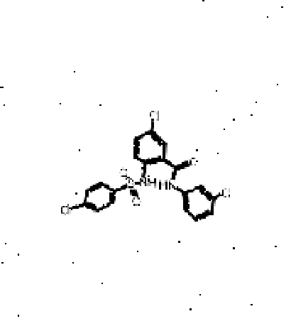 O=C(Nc1cccc(Cl)c1)c1cc(Cl)ccc1NS(=O)(=O)c1ccc(Cl)cc1